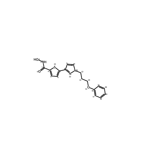 O=C(NO)c1ccc(-c2ccn(CCCOc3ccccc3)n2)s1